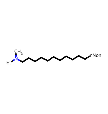 CCCCCCCCCCCCCCCCCCCCN(C)CC